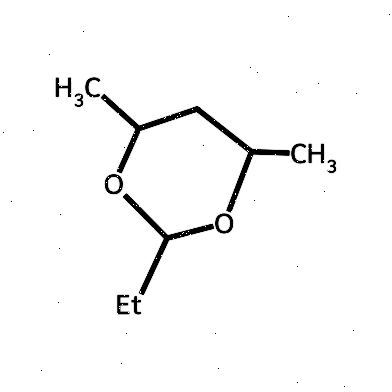 CCC1OC(C)CC(C)O1